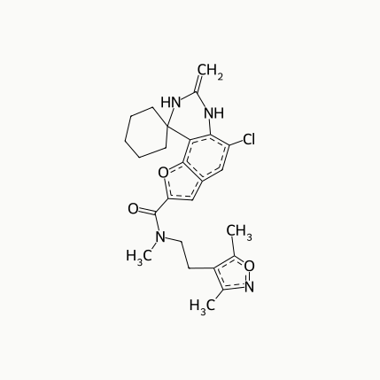 C=C1Nc2c(Cl)cc3cc(C(=O)N(C)CCc4c(C)noc4C)oc3c2C2(CCCCC2)N1